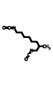 CC(CCCCCCN=C=O)CN=C=O